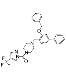 O=C(N1CCN(Cc2ccc(-c3ccccc3)cc2OCc2ccccc2)CC1)n1cc(C(F)(F)F)cn1